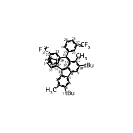 Cc1cc2c(cc1C(C)(C)C)-c1cc(C(C)(C)C)c(C)c(=C(c3cccc(C(F)(F)F)c3)c3cccc(C(F)(F)F)c3)c1=C2C1=CC=CC1